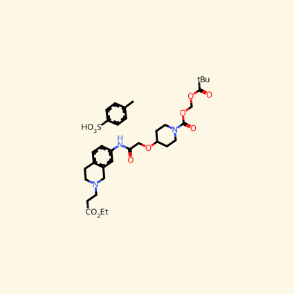 CCOC(=O)CCN1CCc2ccc(NC(=O)COC3CCN(C(=O)OCOC(=O)C(C)(C)C)CC3)cc2C1.Cc1ccc(S(=O)(=O)O)cc1